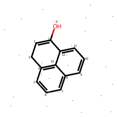 OC1=CCc2cccc3cccc1c23